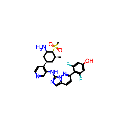 C[C@H]1C[C@@H](c2ccncc2Nc2ncc3ccc(-c4c(F)cc(O)cc4F)nn23)C[C@@H](N)[C@H]1S(C)(=O)=O